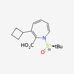 CC(C)(C)[S@@+]([O-])N1C=CC=CC(C2CCC2)=C1C(=O)O